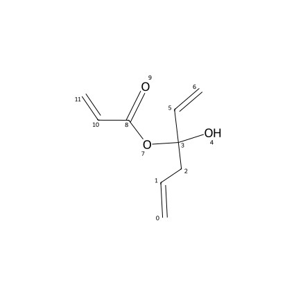 C=CCC(O)(C=C)OC(=O)C=C